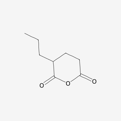 CCCC1CCC(=O)OC1=O